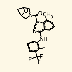 Cc1cccc2c(Nc3cccc(C(F)(F)F)c3F)ncc(C(=O)N3CC4CC(C3)O4)c12